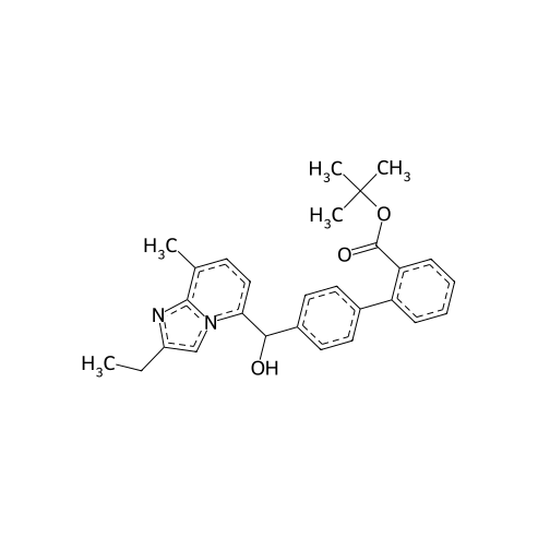 CCc1cn2c(C(O)c3ccc(-c4ccccc4C(=O)OC(C)(C)C)cc3)ccc(C)c2n1